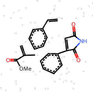 C=C(C)C(=O)OC.C=Cc1ccccc1.O=C1C=C(c2ccccc2)C(=O)N1